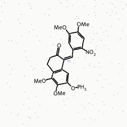 COc1cc(/C=C2\C(=O)CCc3c2cc(OP)c(OC)c3OC)c([N+](=O)[O-])cc1OC